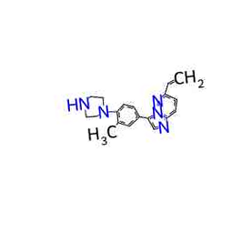 C=Cc1ccc2ncc(-c3ccc(N4CCNCC4)c(C)c3)n2n1